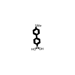 CSc1ccc(-c2ccc(B(O)O)cc2)cc1